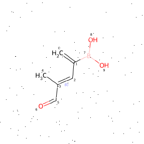 C=C(/C=C(\C)C=O)B(O)O